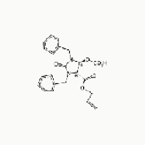 C=CCOC(=O)[C@H]1[C@H](OC(=O)O)N(Cc2ccccc2)C(=O)N1Cc1ccccc1